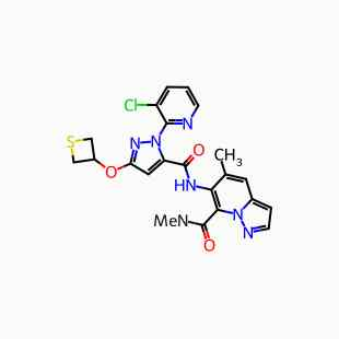 CNC(=O)c1c(NC(=O)c2cc(OC3CSC3)nn2-c2ncccc2Cl)c(C)cc2ccnn12